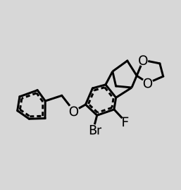 Fc1c(Br)c(OCc2ccccc2)cc2c1C1CC2CC12OCCO2